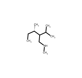 CC[C@H](C)C(CNC)C(C)C